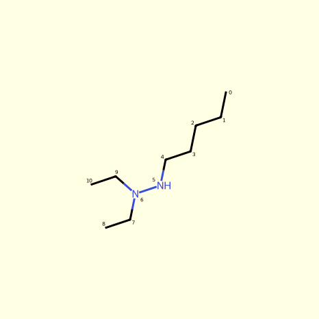 CCCCCNN(CC)CC